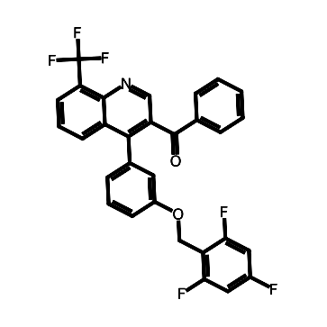 O=C(c1ccccc1)c1cnc2c(C(F)(F)F)cccc2c1-c1cccc(OCc2c(F)cc(F)cc2F)c1